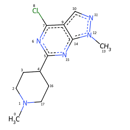 CN1CCC(c2nc(Cl)c3cnn(C)c3n2)CC1